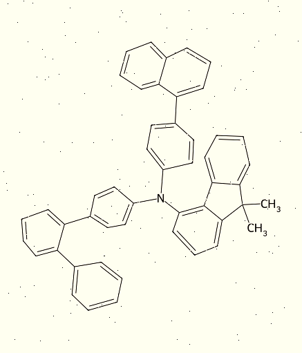 CC1(C)c2ccccc2-c2c(N(c3ccc(-c4ccccc4-c4ccccc4)cc3)c3ccc(-c4cccc5ccccc45)cc3)cccc21